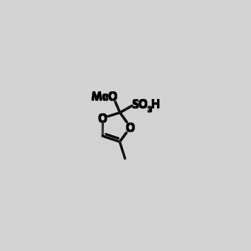 COC1(S(=O)(=O)O)OC=C(C)O1